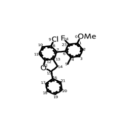 COc1ccc(C)c(-c2c(Cl)ccc3c2CC(c2ccccc2)O3)c1F